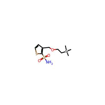 C[Si](C)(C)CCOCc1ccsc1S(N)(=O)=O